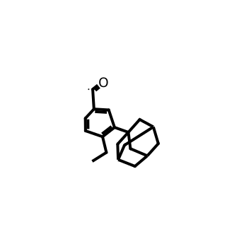 CCc1ccc([C]=O)cc1C12CC3CC(CC(C3)C1)C2